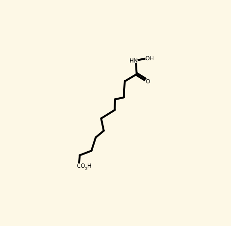 O=C(O)CCCCCCCCCC(=O)NO